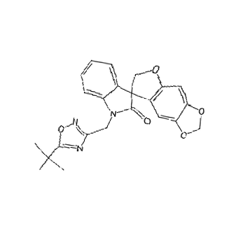 CC(C)(C)c1nc(CN2C(=O)C3(COc4cc5c(cc43)OCO5)c3ccccc32)no1